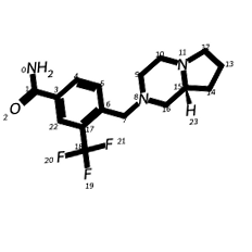 NC(=O)c1ccc(CN2CCN3CCC[C@@H]3C2)c(C(F)(F)F)c1